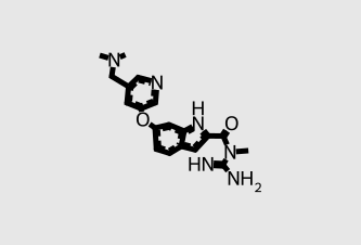 CN(C)Cc1cncc(Oc2ccc3cc(C(=O)N(C)C(=N)N)[nH]c3c2)c1